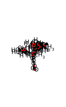 CC[C@H](C)[C@@H]([C@@H](CC(=O)N1CCC[C@H]1[C@H](OC)[C@@H](C)C(=O)N[C@H](C)C(O)c1ccccc1)OC)N(C)C(=O)[C@@H](NC(=O)[C@H](C(C)C)N(C)C(=O)OCc1ccc(NC(=O)[C@H](CCCNC(N)=O)NC(=O)[C@@H](NC(=O)[C@@H](CCCCNC(=O)COC2CCCCC/C(N[C@@H]3O[C@H](CO)[C@H](O)[C@H](O)[C@H]3O)=C\2N=N)NC(=O)CCOCCOCCOCCOCCN2C(=O)C=CC2=O)C(C)C)cc1)C(C)C